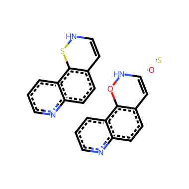 C1=Cc2ccc3ncccc3c2ON1.C1=Cc2ccc3ncccc3c2SN1.[O].[S]